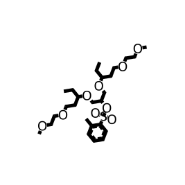 CCC(CCOCCOC)OCC(COC(CC)CCOCCOC)OS(=O)(=O)c1ccccc1C